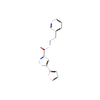 O=C(NCCc1cccnc1)c1cc(-c2ccco2)on1